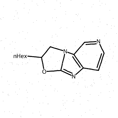 CCCCCCC1Cn2c(nc3ccncc32)O1